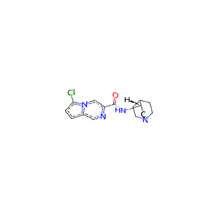 O=C(N[C@H]1CN2CCC1CC2)c1cn2c(Cl)ccc2cn1